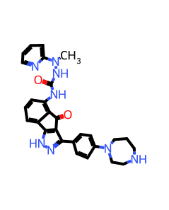 CN(NC(=O)Nc1cccc2c1C(=O)c1c(-c3ccc(N4CCCNCC4)cc3)n[nH]c1-2)c1ccccn1